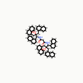 O=C(CC(=O)N[C@@H](c1cccc2ccccc12)C(O)(Cc1cccc2ccccc12)Cc1cccc2ccccc12)N[C@@H](c1cccc2ccccc12)C(O)(Cc1cccc2ccccc12)Cc1cccc2ccccc12